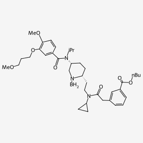 BN1C[C@H](N(C(=O)c2ccc(OC)c(OCCCOC)c2)C(C)C)CC[C@@H]1CCN(C(=O)Cc1cccc(C(=O)OCCCC)c1)C1CC1